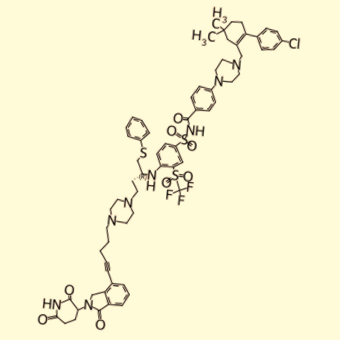 CC1(C)CCC(c2ccc(Cl)cc2)=C(CN2CCN(c3ccc(C(=O)NS(=O)(=O)c4ccc(N[C@H](CCN5CCN(CCCC#Cc6cccc7c6CN(C6CCC(=O)NC6=O)C7=O)CC5)CSc5ccccc5)c(S(=O)(=O)C(F)(F)F)c4)cc3)CC2)C1